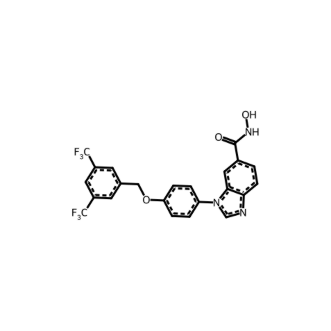 O=C(NO)c1ccc2ncn(-c3ccc(OCc4cc(C(F)(F)F)cc(C(F)(F)F)c4)cc3)c2c1